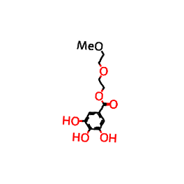 COCCOCCOC(=O)c1cc(O)c(O)c(O)c1